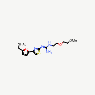 COCCOCCN/C(N)=N/c1nc(-c2ccc(CNC(C)=O)o2)cs1